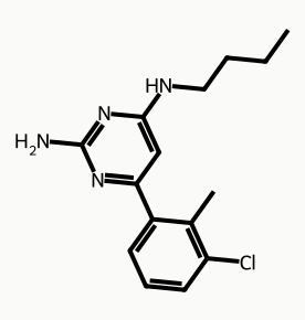 CCCCNc1cc(-c2cccc(Cl)c2C)nc(N)n1